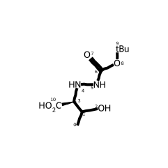 CC(O)[C@H](NNC(=O)OC(C)(C)C)C(=O)O